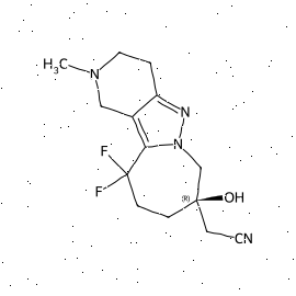 CN1CCc2nn3c(c2C1)C(F)(F)CC[C@@](O)(CC#N)C3